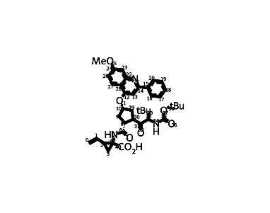 C=CC1CC1(NC(=O)[C@@H]1C[C@@H](Oc2cc(-c3ccccc3)nc3cc(OC)ccc23)CC1C(=O)C(NC(=O)OC(C)(C)C)C(C)(C)C)C(=O)O